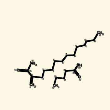 C=C(CCCCCCCCCCCC)C(N)=O.CCCCC(=O)O